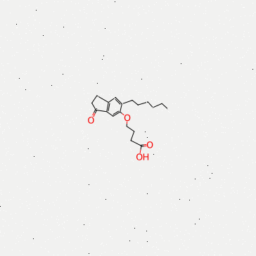 CCCCCCc1cc2c(cc1OCCCC(=O)O)C(=O)CC2